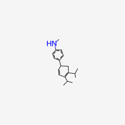 CNc1ccc(C2C=CC(C(C)C)=C(C(C)C)C2)cc1